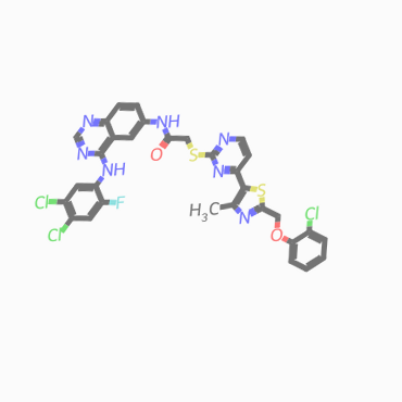 Cc1nc(COc2ccccc2Cl)sc1-c1ccnc(SCC(=O)Nc2ccc3ncnc(Nc4cc(Cl)c(Cl)cc4F)c3c2)n1